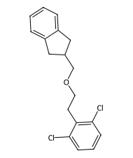 Clc1cccc(Cl)c1CCOCC1Cc2ccccc2C1